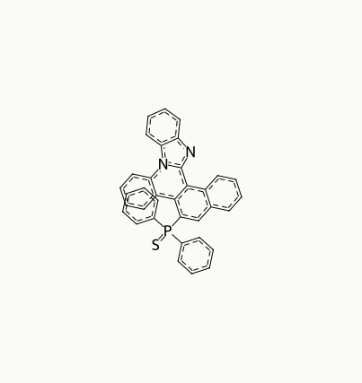 S=P(c1ccccc1)(c1ccccc1)c1cc2ccccc2c2c1c1ccccc1n1c3ccccc3nc21